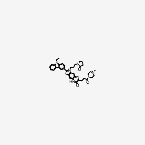 CCn1c2ccccc2c2cc(-c3nc4cc5[nH]c(=O)c(CCC(=O)N6CCN(C)CC6)nc5cc4n3CCCN3CCCC3=O)ccc21